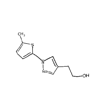 Cc1ccc(-n2cc(CCO)cn2)s1